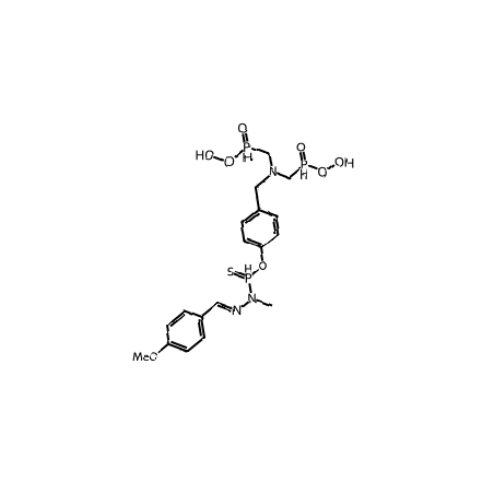 COc1ccc(/C=N/N(C)[PH](=S)Oc2ccc(CN(C[PH](=O)OO)C[PH](=O)OO)cc2)cc1